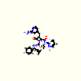 CCN(C(=O)[C@@H]1C(Cc2ccnc(N)c2)C(=O)N1C(=O)N[C@@H](C1CCCCC1)C1CC1)c1ncccn1